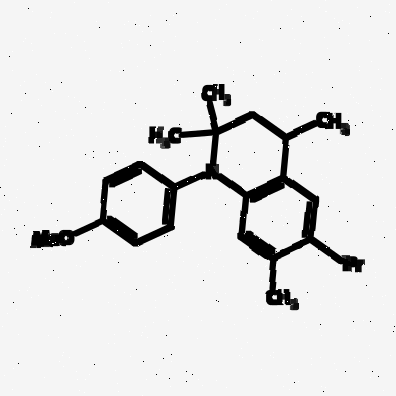 COc1ccc(N2c3cc(C)c(C(C)C)cc3C(C)CC2(C)C)cc1